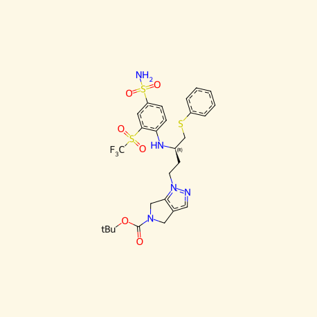 CC(C)(C)OC(=O)N1Cc2cnn(CC[C@H](CSc3ccccc3)Nc3ccc(S(N)(=O)=O)cc3S(=O)(=O)C(F)(F)F)c2C1